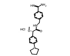 CO[C@H](C(=O)NCc1ccc(C(=N)N)cc1)c1ccc(N2CCCC2)cc1.Cl